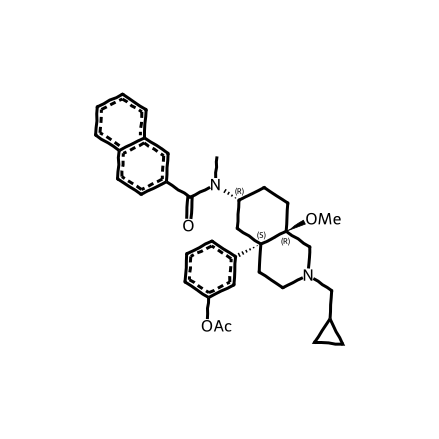 CO[C@]12CC[C@@H](N(C)C(=O)c3ccc4ccccc4c3)C[C@]1(c1cccc(OC(C)=O)c1)CCN(CC1CC1)C2